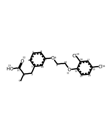 CC(Cc1cccc(OCCOc2ccc(Cl)cc2Cl)c1)C(=O)O